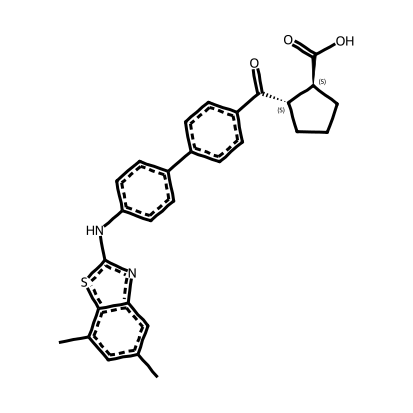 Cc1cc(C)c2sc(Nc3ccc(-c4ccc(C(=O)[C@H]5CCC[C@@H]5C(=O)O)cc4)cc3)nc2c1